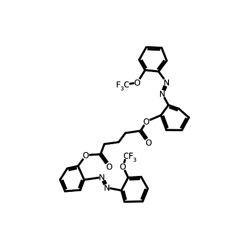 O=C(CCCC(=O)Oc1ccccc1/N=N/c1ccccc1OC(F)(F)F)Oc1ccccc1/N=N/c1ccccc1OC(F)(F)F